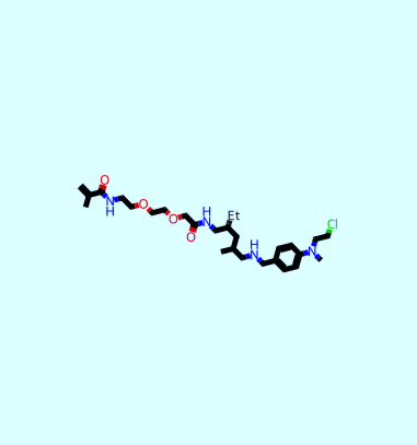 C=C(C)C(=O)NCCOCCOCC(=O)NCC(CC)CC(C)CNCc1ccc(N(C)CCCl)cc1